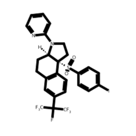 O=S(=O)(c1ccc(I)cc1)[C@@]12CCN(c3ccccn3)[C@@H]1CCc1cc(C(F)(C(F)(F)F)C(F)(F)F)ccc12